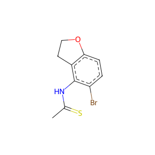 CC(=S)Nc1c(Br)ccc2c1CCO2